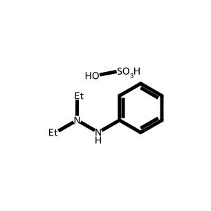 CCN(CC)Nc1ccccc1.O=S(=O)(O)O